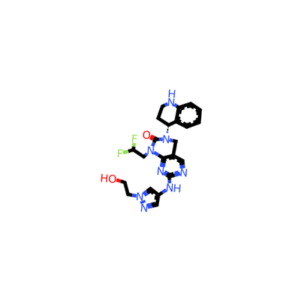 O=C1N(CC(F)F)c2nc(Nc3cnn(CCO)c3)ncc2CN1[C@@H]1CCNc2ccccc21